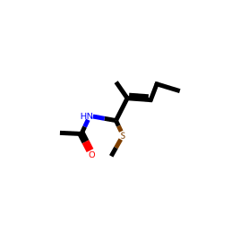 CC/C=C(\C)C(NC(C)=O)SC